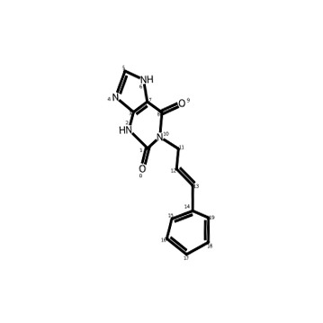 O=c1[nH]c2nc[nH]c2c(=O)n1CC=Cc1ccccc1